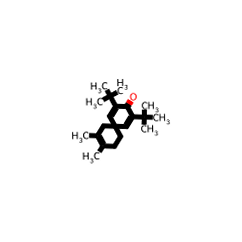 CC1=C(C)CC2(C=C(C(C)(C)C)C(=O)C(C(C)(C)C)=C2)CC1